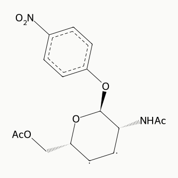 CC(=O)N[C@@H]1[CH][CH][C@H](COC(C)=O)O[C@H]1Oc1ccc([N+](=O)[O-])cc1